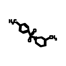 CC1=CCCN(S(=O)(=O)c2ccc(C)cc2)C1